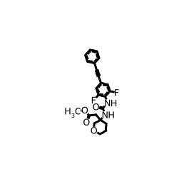 COC(=O)CC1(NC(=O)Nc2c(F)cc(C#Cc3ccccc3)cc2F)CCCOC1